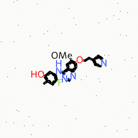 COc1cc2c(Nc3cc(O)c(C)cc3F)ncnc2cc1OCCc1ccncc1